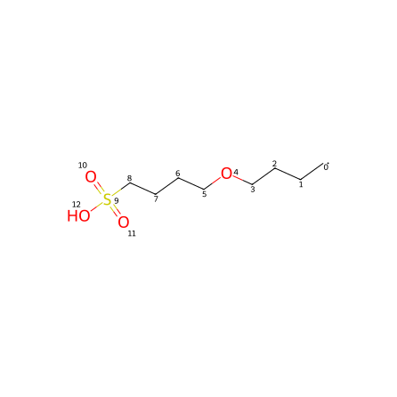 [CH2]CCCOCCCCS(=O)(=O)O